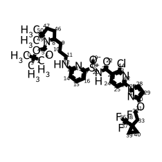 CC(C)(C)OC(=O)N1C(CCCNc2cccc([S+]([O-])NC(=O)c3ccc(-n4ccc(OCCC5(C(F)(F)F)CC5)n4)nc3Cl)n2)CCC1(C)C